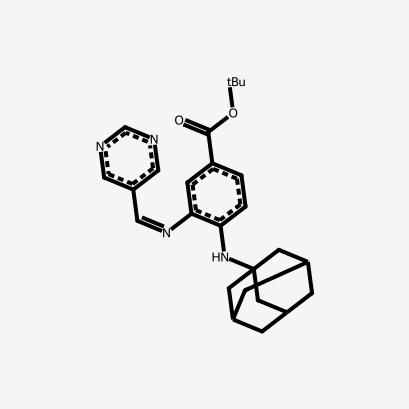 CC(C)(C)OC(=O)c1ccc(NC23CC4CC(CC(C4)C2)C3)c(/N=C\c2cncnc2)c1